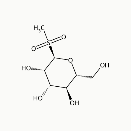 CS(=O)(=O)[C@H]1O[C@H](CO)[C@@H](O)[C@H](O)[C@@H]1O